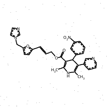 CC1=C(C(=O)OC/C=C/c2ccc(Cn3ccnc3)o2)C(c2cccc([N+](=O)[O-])c2)C(c2cccnc2)=C(C)N1